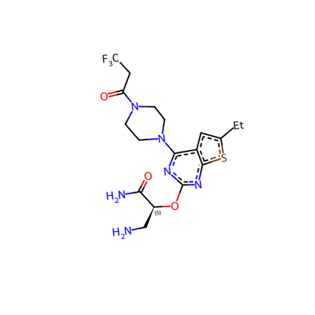 CCc1cc2c(N3CCN(C(=O)CC(F)(F)F)CC3)nc(O[C@@H](CN)C(N)=O)nc2s1